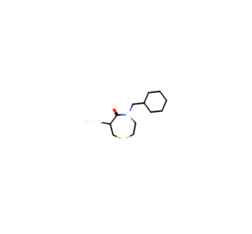 CNC1CSCCN(CC2CCCCC2)C1=O